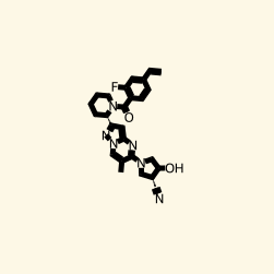 C=Cc1ccc(C(=O)N2CCCC[C@H]2c2cc3nc(N4CC(O)[C@H](C#N)C4)c(C)cn3n2)c(F)c1